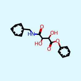 O=C(NCc1ccccc1)C(O)C(O)C(=O)Oc1ccccc1